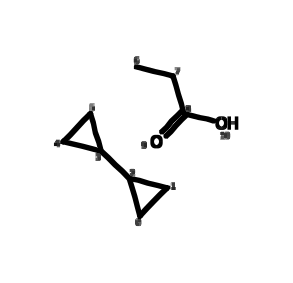 C1CC1C1CC1.CCC(=O)O